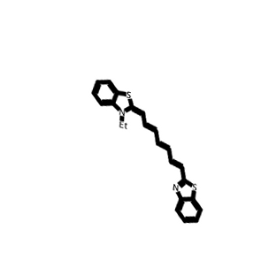 CCN1C(=CC=CC=CC=Cc2nc3ccccc3s2)Sc2ccccc21